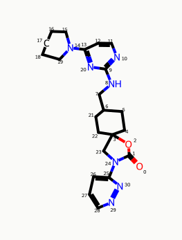 O=C1OC2(CCC(CNc3nccc(N4CCCCC4)n3)CC2)CN1c1cccnn1